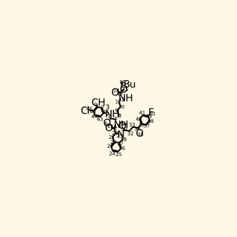 Cc1cc(NC(=O)[C@H](CCCCNC(=O)OC(C)(C)C)NC(=O)C2Cc3ccccc3CN2C(=O)CCC(=O)c2ccc(F)cc2)ccc1Cl